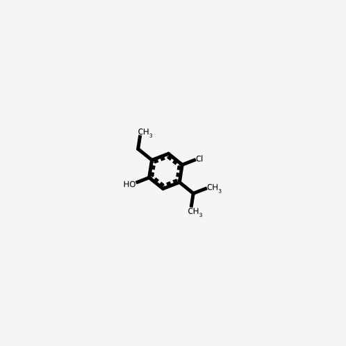 CCc1cc(Cl)c(C(C)C)cc1O